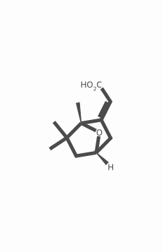 CC1(C)C[C@H]2C/C(=C/C(=O)O)[C@]1(C)O2